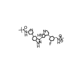 CC(C)(C)C(=O)Nc1cncc(-c2ccc3[nH]nc(-c4cc5c(-c6cc(F)cc(CNS(C)(=O)=O)c6)ccnc5[nH]4)c3c2)c1